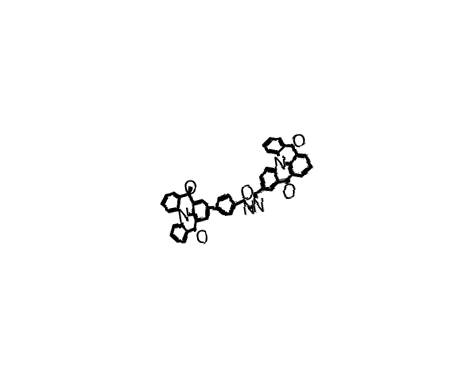 O=c1c2ccccc2n2c3ccc(-c4nnc(-c5ccc(-c6cc7c(=O)c8ccccc8n8c9ccccc9c(=O)c(c6)c78)cc5)o4)cc3c(=O)c3cccc1c32